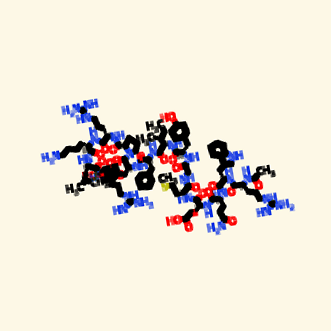 CC[C@H](C)[C@H](NC(=O)[C@H](Cc1ccc(O)cc1)NC(=O)CNC(=O)[C@H](CCSC)NC(=O)[C@H](CCC(=O)O)NC(=O)[C@H](CCC(N)=O)NC(=O)[C@H](Cc1c[nH]c2ccccc12)NC(=O)[C@H](CCCNC(=N)N)NC(C)=O)C(=O)N[C@@H](Cc1ccccc1)C(=O)N[C@@H](Cc1ccc(O)cc1)C(=O)N1CCC[C@H]1C(=O)N[C@@H](CCCNC(=N)N)C(=O)N[C@@H](CCCCN)C(=O)N[C@@H](CC(C)C)C(=O)N[C@@H](CCCNC(=N)N)C(=O)O